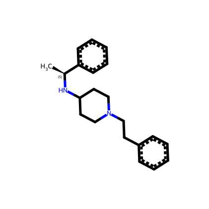 C[C@H](NC1CCN(CCc2ccccc2)CC1)c1ccccc1